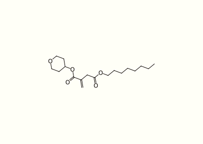 C=C(CC(=O)OCCCCCCCC)C(=O)OC1CCOCC1